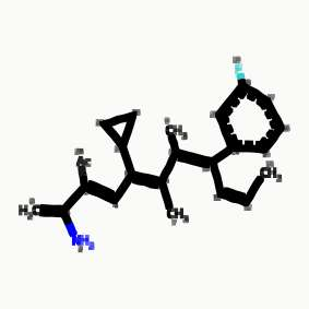 C=C(N)/C(=C/C(=C(C)/C(C)=C(\C=C/C)c1cccc(F)c1)C1CC1)C(C)=O